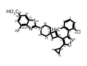 Cc1cccc(Cl)c1-c1noc(C2CC2)c1C1=CC2(CCN(c3nc4c(F)cc(C(=O)O)cc4s3)CC2)C1